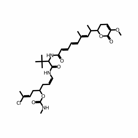 CNC(=O)OC(C/C=C\NC(=O)C(NC(=O)/C=C/C=C/C(C)=C/C(C)C1CC=C(OC)C(=O)O1)C(C)(C)C)C/C=C(\C)Cl